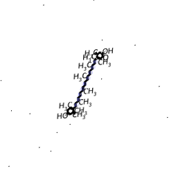 CC1=C(/C=C/C(C)=C/C=C/C(C)=C/C=C/C=C(C)/C=C/C=C(C)/C=C/C2=C(C)C(=O)[C@@H](O)CC2(C)C)C(C)(C)C[C@H](O)C1